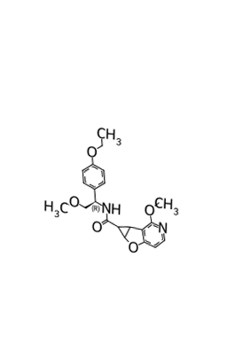 CCOc1ccc([C@H](COC)NC(=O)C2C3Oc4ccnc(OC)c4C32)cc1